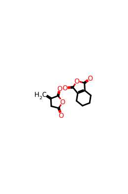 C=C1CC(=O)OC1=O.O=C1OC(=O)C2=C1CCCC2